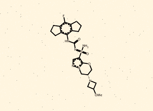 COC1CN([C@H]2COc3c(S(N)(=O)=NC(=O)Nc4c5c(c(F)c6c4CCC6)CCC5)cnn3C2)C1